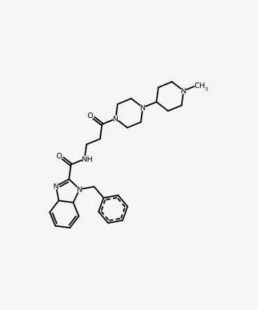 CN1CCC(N2CCN(C(=O)CCNC(=O)C3=NC4C=CC=CC4N3Cc3ccccc3)CC2)CC1